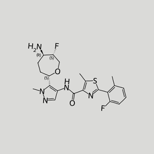 Cc1cccc(F)c1-c1nc(C(=O)Nc2cnn(C)c2[C@@H]2CC[C@@H](N)[C@H](F)CO2)c(C)s1